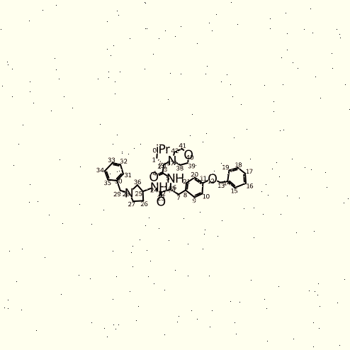 CC(C)C[C@@H](C(=O)N[C@@H](Cc1ccc(OCc2ccccc2)cc1)C(=O)NC1CCN(Cc2ccccc2)C1)N1CCOCC1